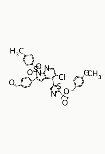 COc1ccc(COC2(c3ncc(-c4c(Cl)cnc5c4cc(-c4ccc(C=O)cc4)n5S(=O)(=O)c4ccc(C)cc4)s3)COC2)cc1